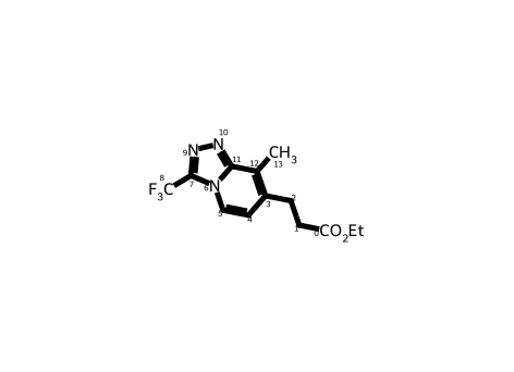 CCOC(=O)CCc1ccn2c(C(F)(F)F)nnc2c1C